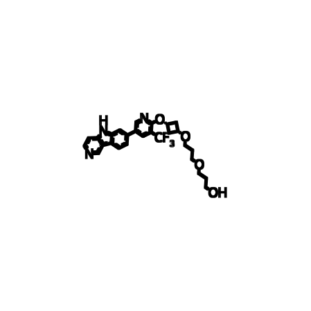 OCCCOCCCO[C@H]1C[C@H](Oc2ncc(-c3ccc4c(c3)[nH]c3ccncc34)cc2C(F)(F)F)C1